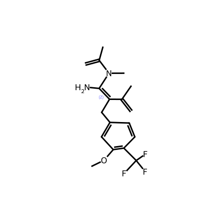 C=C(C)/C(Cc1ccc(C(F)(F)F)c(OC)c1)=C(/N)N(C)C(=C)C